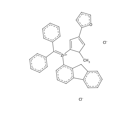 CC1C=C(c2ccco2)C=[C]1[Zr+2](=[C](c1ccccc1)c1ccccc1)[c]1cccc2c1Cc1ccccc1-2.[Cl-].[Cl-]